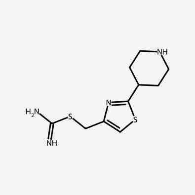 N=C(N)SCc1csc(C2CCNCC2)n1